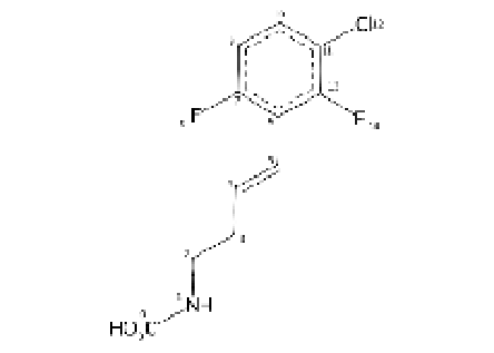 O=C(O)NCCC=Cc1c(F)ccc(Cl)c1F